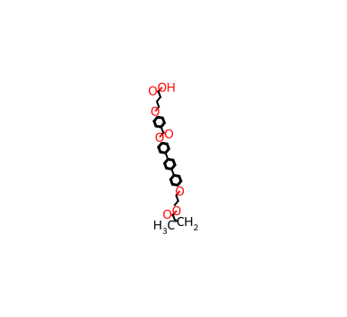 C=C(C)C(=O)OCCCOc1ccc(-c2ccc(-c3ccc(OC(=O)c4ccc(OCCCC(=O)O)cc4)cc3)cc2)cc1